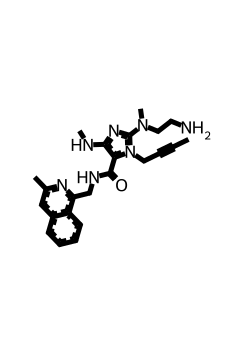 CC#CCn1c(N(C)CCN)nc(NC)c1C(=O)NCc1nc(C)cc2ccccc12